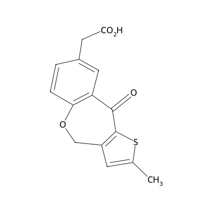 Cc1cc2c(s1)C(=O)c1cc(CC(=O)O)ccc1OC2